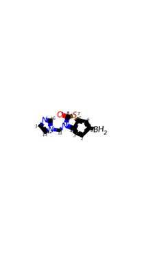 Bc1ccc2c(c1)sc(=O)n2Cn1ccnc1